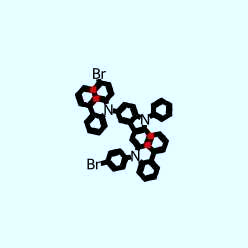 Brc1ccc(N(c2ccc3c(c2)c2cc(N(c4ccc(Br)cc4)c4ccccc4-c4ccccc4)ccc2n3-c2ccccc2)c2ccccc2-c2ccccc2)cc1